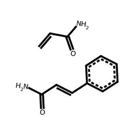 C=CC(N)=O.NC(=O)C=Cc1ccccc1